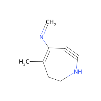 C=NC1=C(C)CCNC#C1